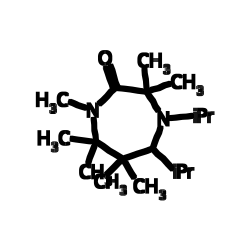 CC(C)C1N(C(C)C)C(C)(C)C(=O)N(C)C(C)(C)C1(C)C